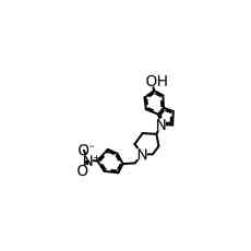 O=[N+]([O-])c1ccc(CN2CCC(n3ccc4cc(O)ccc43)CC2)cc1